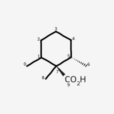 CC1CCC[C@H](C)[C@@]1(C)C(=O)O